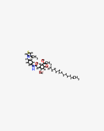 CCCCCCCCCCCCCCOc1ccc(CC(=O)Nc2ccc(C[n+]3cscc3C)cc2)cc1C(C)=O.[Br-]